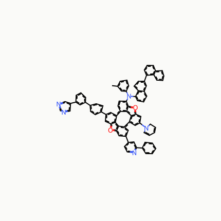 Cc1cccc(N(c2cccc3cc(-c4cccc5ccccc45)ccc23)c2ccc3c4cc(-c5ccc(-c6cccc(-c7cncnc7)c6)cc5)cc5oc6cc(-c7ccnc(-c8ccccc8)c7)cc(c7cc(N8C=CC=CC8)cc8oc2c3c87)c6c54)c1